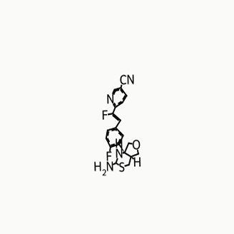 N#Cc1ccc(/C(F)=C/c2ccc(F)c([C@@]34COC[C@@H]3CSC(N)N4)c2)nc1